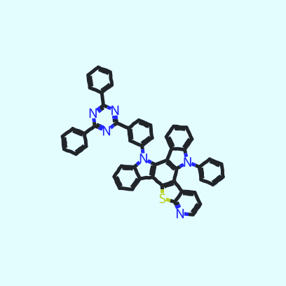 c1ccc(-c2nc(-c3ccccc3)nc(-c3cccc(-n4c5ccccc5c5c6sc7ncccc7c6c6c(c7ccccc7n6-c6ccccc6)c54)c3)n2)cc1